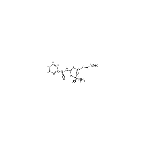 CCCCCCCCCCCCCCC(CS(N)(=O)=O)OC(=O)c1ccccc1